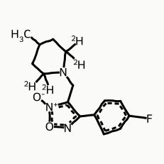 [2H]C1([2H])CC(C)CC([2H])([2H])N1Cc1c(-c2ccc(F)cc2)no[n+]1[O-]